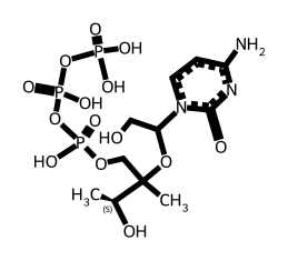 C[C@H](O)C(C)(COP(=O)(O)OP(=O)(O)OP(=O)(O)O)OC(CO)n1ccc(N)nc1=O